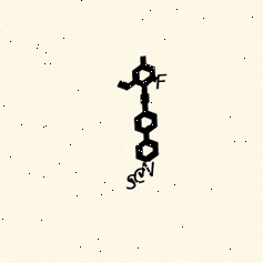 C=Cc1cc(C)cc(F)c1C#Cc1ccc(-c2ccc(N=C=S)cc2)cc1